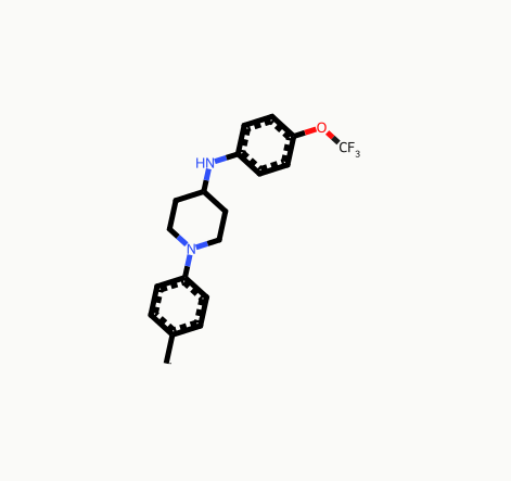 [CH2]c1ccc(N2CCC(Nc3ccc(OC(F)(F)F)cc3)CC2)cc1